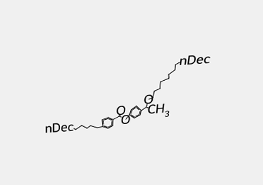 CCCCCCCCCCCCCCCCCCOC(C)c1ccc(OC(=O)c2ccc(CCCCCCCCCCCCCCC)cc2)cc1